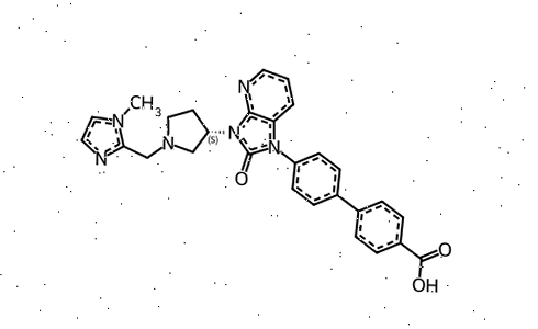 Cn1ccnc1CN1CC[C@H](n2c(=O)n(-c3ccc(-c4ccc(C(=O)O)cc4)cc3)c3cccnc32)C1